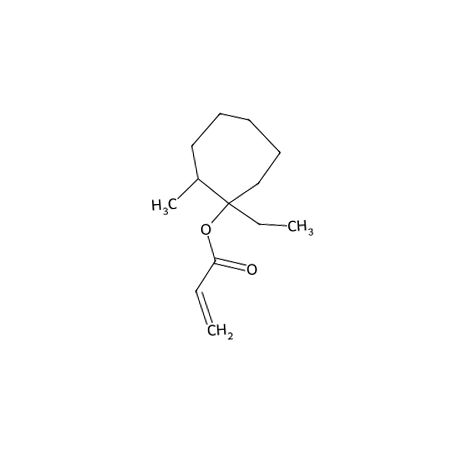 C=CC(=O)OC1(CC)CCCCCC1C